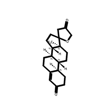 C[C@]12CC[C@H]3[C@@H](CCC4=CC(=O)CC[C@@H]43)[C@@H]1CCC21CC(=O)CO1